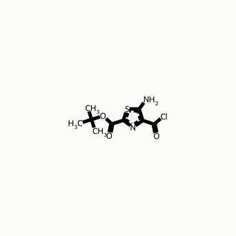 CC(C)(C)OC(=O)c1nc(C(=O)Cl)c(N)s1